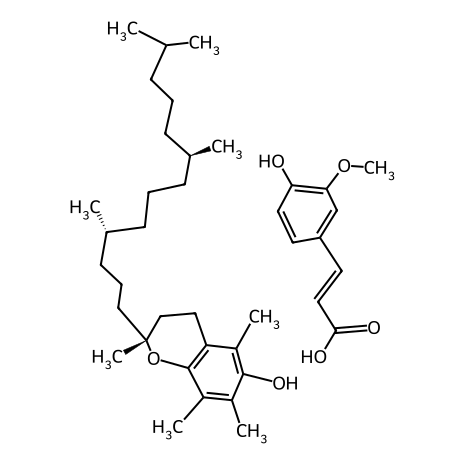 COc1cc(C=CC(=O)O)ccc1O.Cc1c(C)c2c(c(C)c1O)CC[C@@](C)(CCC[C@H](C)CCC[C@H](C)CCCC(C)C)O2